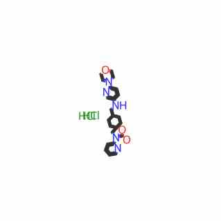 Cl.Cl.O=C1OC2(CCC(CNc3ccc(N4CCOCC4)nc3)CC2)CN1c1ccccn1